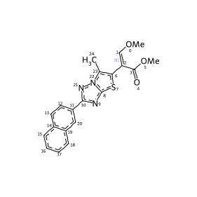 CO/C=C(\C(=O)OC)c1sc2nc(-c3ccc4ccccc4c3)nn2c1C